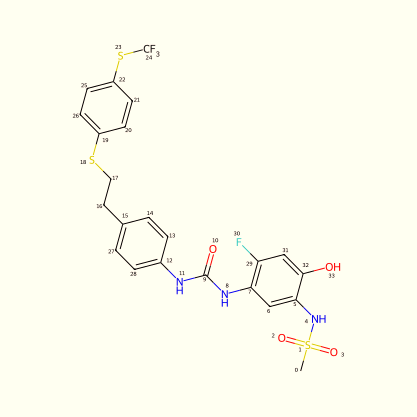 CS(=O)(=O)Nc1cc(NC(=O)Nc2ccc(CCSc3ccc(SC(F)(F)F)cc3)cc2)c(F)cc1O